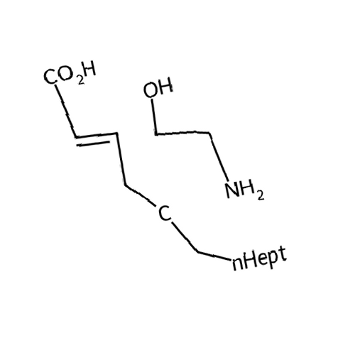 CCCCCCCCCCC=CC(=O)O.NCCO